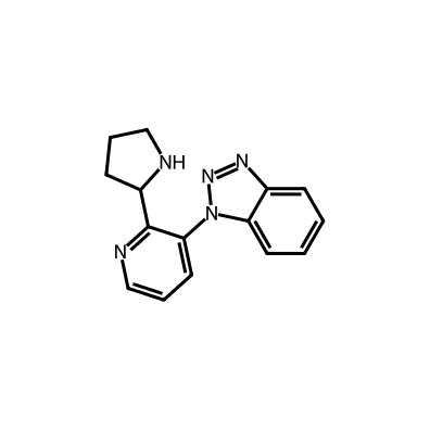 c1cnc(C2CCCN2)c(-n2nnc3ccccc32)c1